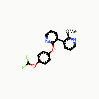 COc1ncccc1-c1cccnc1Oc1ccc(OC(F)F)cc1